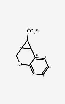 CCOC(=O)C1C2COc3ccccc3C21